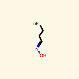 CC[CH]CCC=NO